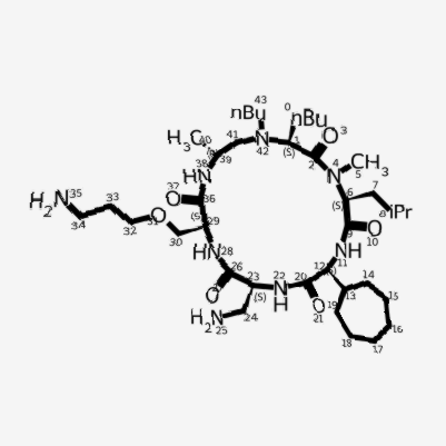 CCCC[C@H]1C(=O)N(C)[C@@H](CC(C)C)C(=O)N[C@@H](C2CCCCCC2)C(=O)N[C@@H](CN)C(=O)N[C@@H](COCCCN)C(=O)N[C@H](C)CN1CCCC